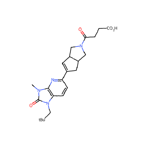 Cn1c(=O)n(CC(C)(C)C)c2ccc(C3=CC4CN(C(=O)CCC(=O)O)CC4C3)nc21